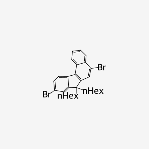 CCCCCCC1(CCCCCC)c2cc(Br)ccc2-c2c1cc(Br)c1ccccc21